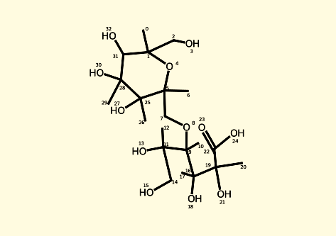 CC1(CO)OC(C)(COC(C)(C(C)(O)CO)C(C)(O)C(C)(O)C(=O)O)C(C)(O)C(C)(O)C1O